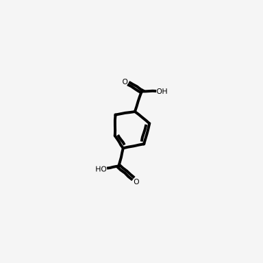 O=C(O)C1=CCC(C(=O)O)C=C1